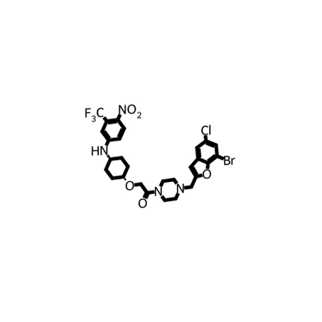 O=C(CO[C@H]1CC[C@H](Nc2ccc([N+](=O)[O-])c(C(F)(F)F)c2)CC1)N1CCN(Cc2cc3cc(Cl)cc(Br)c3o2)CC1